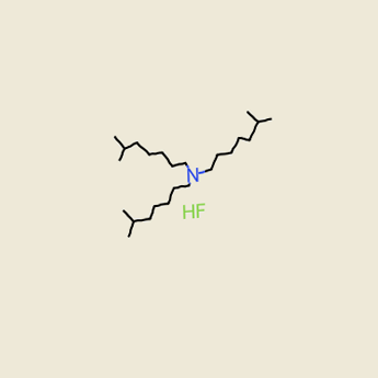 CC(C)CCCCCN(CCCCCC(C)C)CCCCCC(C)C.F